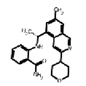 Cc1cc([C@@H](C)Nc2ccccc2C(N)=O)c2cc(C3CCOCC3)ncc2c1